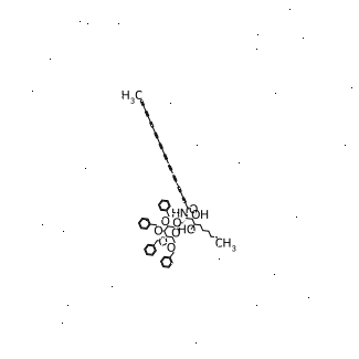 CC#CC#CC#CC#CC#CC#CC#CC#CC#CC#CC(=O)N[C@@H](COC1OC(COCc2ccccc2)C(OCc2ccccc2)C(OCc2ccccc2)C1OCc1ccccc1)[C@H](O)[C@H](O)CCCCCC